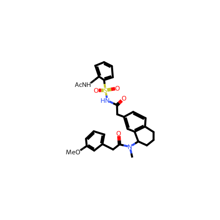 COc1cccc(CC(=O)N(C)C2CCCc3ccc(CC(=O)NS(=O)(=O)c4ccccc4NC(C)=O)cc32)c1